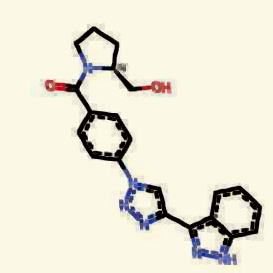 O=C(c1ccc(-n2cc(-c3n[nH]c4ccccc34)nn2)cc1)N1CCC[C@H]1CO